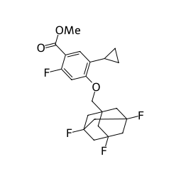 COC(=O)c1cc(C2CC2)c(OCC23CC4(F)CC(F)(CC(F)(C4)C2)C3)cc1F